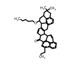 CCCCCOC1CC2CC(C)(C)Cc3ccc4c(c32)C1C1=C(C4)C2C(C=C1)C(=O)c1cc(CCC)c3cccc4c3c1C2C=C4